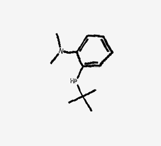 CN(C)c1ccccc1PC(C)(C)C